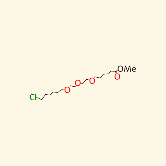 COC(=O)CCCCCOCCOCCOCCCCCCCl